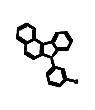 Clc1cccc(-n2c3ccccc3c3c4ccccc4ccc32)c1